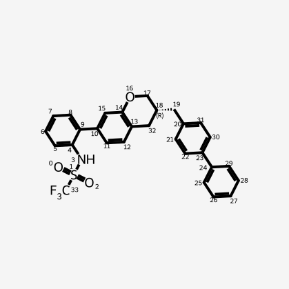 O=S(=O)(Nc1ccccc1-c1ccc2c(c1)OC[C@H](Cc1ccc(-c3ccccc3)cc1)C2)C(F)(F)F